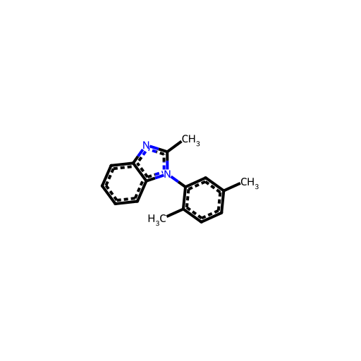 Cc1ccc(C)c(-n2c(C)nc3ccccc32)c1